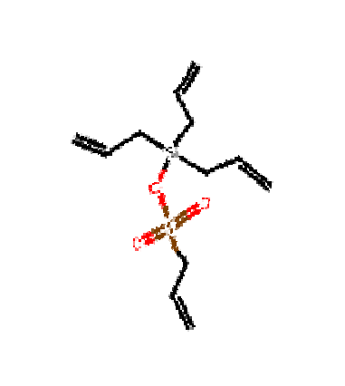 C=CC[Si](CC=C)(CC=C)OS(=O)(=O)CC=C